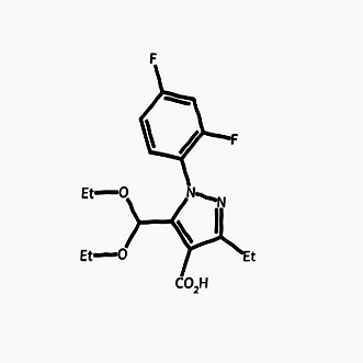 CCOC(OCC)c1c(C(=O)O)c(CC)nn1-c1ccc(F)cc1F